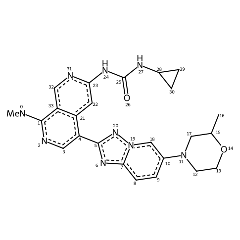 CNc1ncc(-c2nc3ccc(N4CCOC(C)C4)cn3n2)c2cc(NC(=O)NC3CC3)ncc12